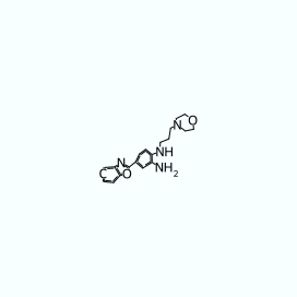 Nc1cc(-c2nc3ccccc3o2)ccc1NCCCN1CCOCC1